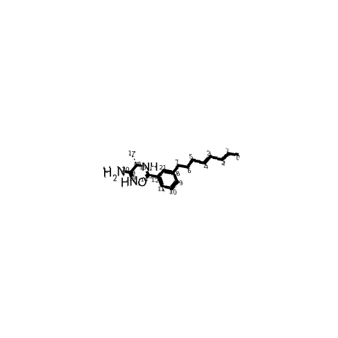 CCCCCCCCc1cccc(C(=O)N[C@@H](C)C(=N)N)c1